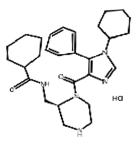 Cl.O=C(NC[C@@H]1CNCCN1C(=O)c1ncn(C2CCCCC2)c1-c1ccccc1)C1CCCCC1